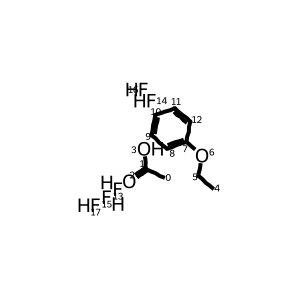 CC(=O)O.CCOc1ccccc1.F.F.F.F.F